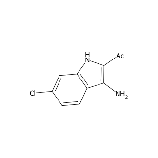 CC(=O)c1[nH]c2cc(Cl)ccc2c1N